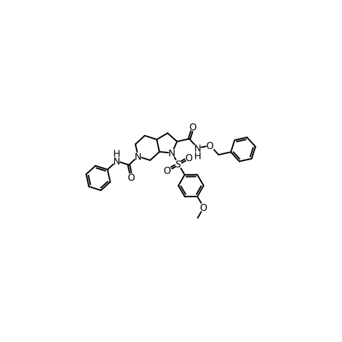 COc1ccc(S(=O)(=O)N2C(C(=O)NOCc3ccccc3)CC3CCN(C(=O)Nc4ccccc4)CC32)cc1